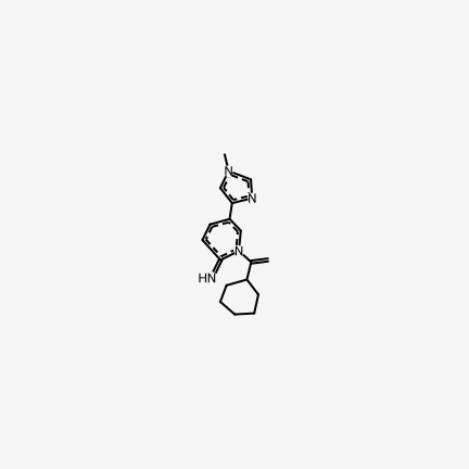 C=C(C1CCCCC1)n1cc(-c2cn(C)cn2)ccc1=N